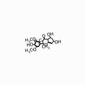 COc1cc(C2(C)OC3=CC(O)CC(O)C3C(=O)C2C)cc(OC)c1O